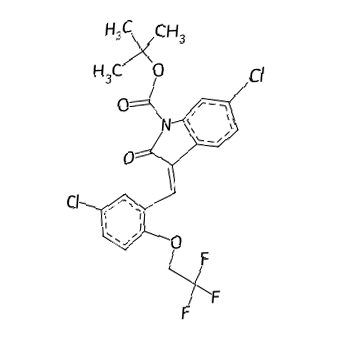 CC(C)(C)OC(=O)N1C(=O)C(=Cc2cc(Cl)ccc2OCC(F)(F)F)c2ccc(Cl)cc21